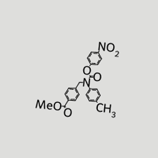 COC(=O)c1ccc(CN(C(=O)Oc2ccc([N+](=O)[O-])cc2)c2ccc(C)cc2)cc1